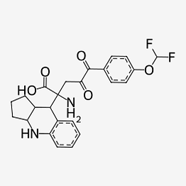 NC(CC(=O)C(=O)c1ccc(OC(F)F)cc1)(C(=O)O)C1c2ccccc2NC2CCCC21